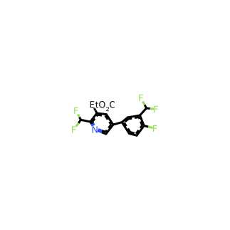 CCOC(=O)c1cc(-c2ccc(F)c(C(F)F)c2)cnc1C(F)F